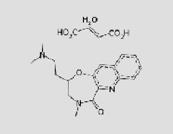 CN(C)CCC1CN(C)C(=O)c2nc3ccccc3cc2O1.O.O=C(O)C=CC(=O)O